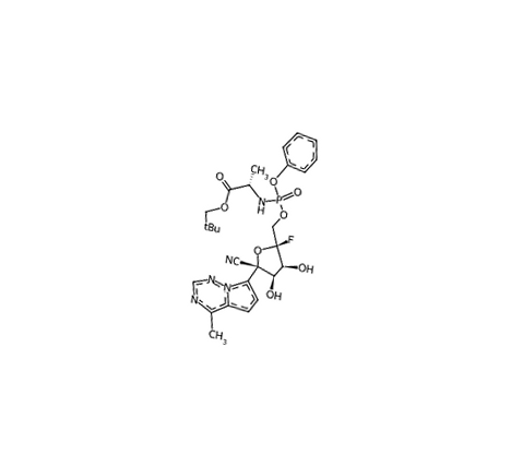 Cc1ncnn2c([C@]3(C#N)O[C@](F)(COP(=O)(N[C@@H](C)C(=O)OCC(C)(C)C)Oc4ccccc4)[C@@H](O)[C@H]3O)ccc12